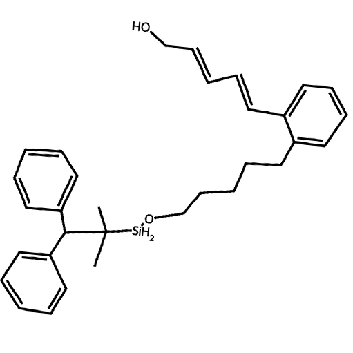 CC(C)([SiH2]OCCCCCc1ccccc1/C=C/C=C/CO)C(c1ccccc1)c1ccccc1